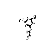 O=CNCc1cc(Cl)cc(Cl)c1